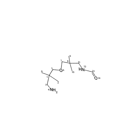 CC(C)(CN)COCC(C)(C)CNC=O